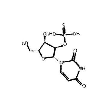 O=c1ccn([C@@H]2O[C@H](CO)[C@@H](O)[C@H]2OP(O)(O)=S)c(=O)[nH]1